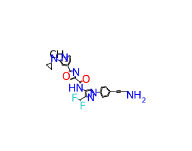 CN(c1cc(-c2nc(C(=O)Nc3cn(-c4ccc(C#CCN)cc4)nc3C(F)F)co2)ccn1)C1CC1